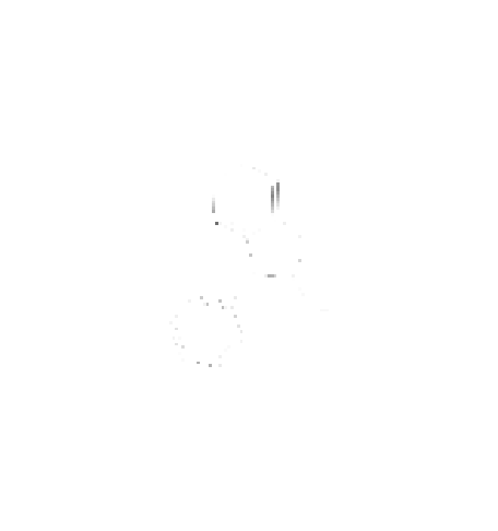 Oc1nc2cc[c]nc2n1-c1ccccc1